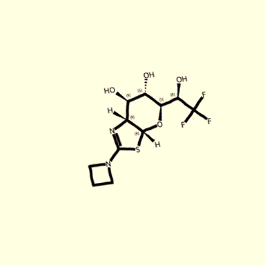 O[C@H]1[C@H](O)[C@@H]([C@@H](O)C(F)(F)F)O[C@@H]2SC(N3CCC3)=N[C@H]12